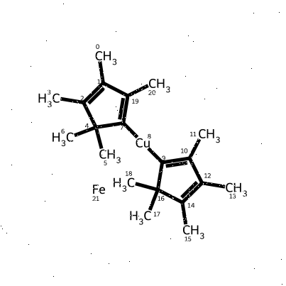 CC1=C(C)C(C)(C)[C]([Cu][C]2=C(C)C(C)=C(C)C2(C)C)=C1C.[Fe]